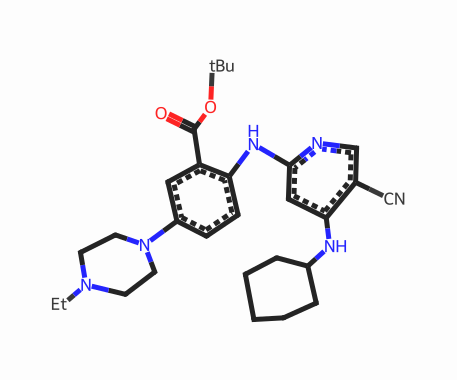 CCN1CCN(c2ccc(Nc3cc(NC4CCCCC4)c(C#N)cn3)c(C(=O)OC(C)(C)C)c2)CC1